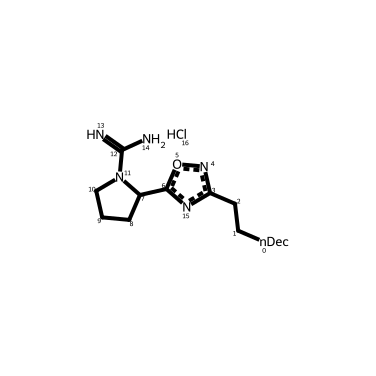 CCCCCCCCCCCCc1noc(C2CCCN2C(=N)N)n1.Cl